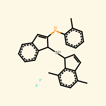 Cc1ccccc1PC1=Cc2ccccc2[CH]1[Ti+2][CH]1C=Cc2c(C)ccc(C)c21.[F-].[F-]